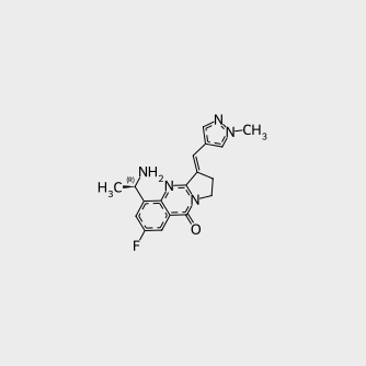 C[C@@H](N)c1cc(F)cc2c(=O)n3c(nc12)C(=Cc1cnn(C)c1)CC3